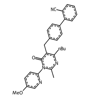 CCCCc1nc(C)n(-c2ccc(OC)cn2)c(=O)c1Cc1ccc(-c2ccccc2C#N)cc1